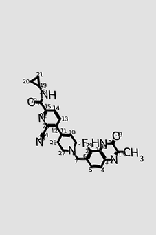 Cc1nc2ccc(CN3CC=C(c4ccc(C(=O)NC5CC5)nc4C#N)CC3)c(F)c2[nH]c1=O